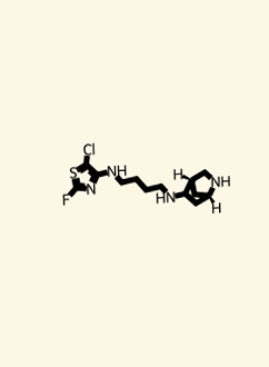 Fc1nc(NCCCCNC2C[C@@H]3C[C@H]2CN3)c(Cl)s1